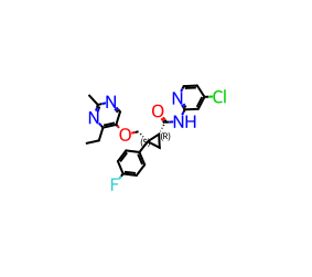 CCc1nc(C)ncc1OC[C@@]1(c2ccc(F)cc2)C[C@H]1C(=O)Nc1cc(Cl)ccn1